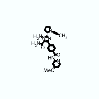 CC#CN1CCC[C@H]1c1nc(-c2ccc(C(=O)Nc3cc(OC)ccn3)cc2)c(C(N)=O)n1N